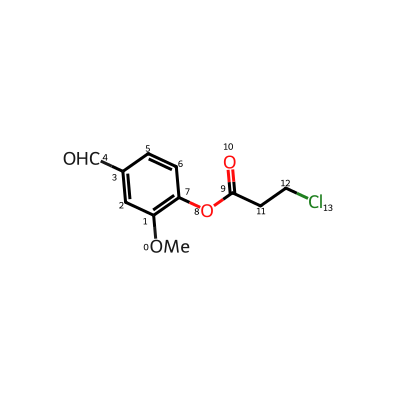 COc1cc(C=O)ccc1OC(=O)CCCl